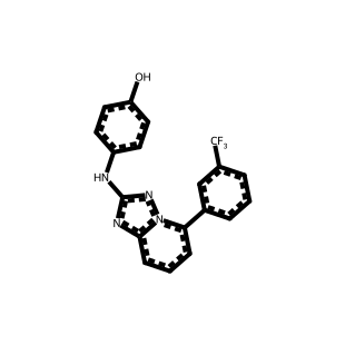 Oc1ccc(Nc2nc3cccc(-c4cccc(C(F)(F)F)c4)n3n2)cc1